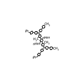 CCCCCCC1=CC(c2ccc(N(C3=CCC(c4ccc(C)cc4)C=C3)c3ccc(-c4ccc(CC(C)C)cc4)cc3)cc2C)=C(CCCCCC)CC1C1=CC=C(N(c2ccc(-c3ccc(CC(C)C)cc3)cc2)C2C=CC(c3ccc(C)cc3)=CC2)CC1C